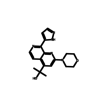 CC(C)(O)c1cc(N2CCOCC2)nc2c(-c3ccn[nH]3)nccc12